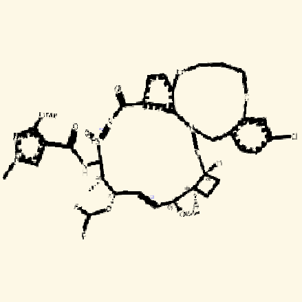 COc1nn(C)cc1C(=O)NC1[C@@H](C)[C@@H](OC(F)F)/C=C/[C@H](OC)[C@@H]2CC[C@H]2CN2Cc3ccc(Cl)cc3CCCCOc3ccc(cc32)C(=O)/N=[SH]\1=O